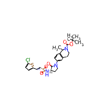 CC1c2ccc(N3CC[C@H](NS(=O)(=O)/C=C/c4ccc(Cl)s4)C3=O)cc2CCN1C(=O)OC(C)(C)C